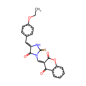 CCOc1ccc(/C=C2\NC(=S)N(/C=C3\C(=O)Oc4ccccc4C3=O)C2=O)cc1